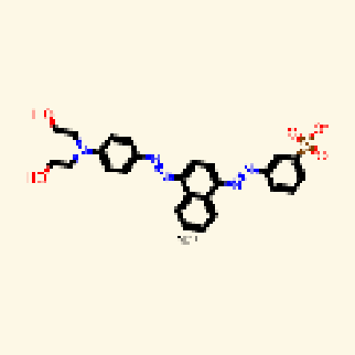 O=S(=O)([O-])c1cccc(N=Nc2ccc(N=Nc3ccc(N(CCO)CCO)cc3)c3ccccc23)c1.[Na+]